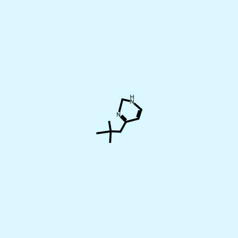 CC(C)(C)CC1=NCNC=C1